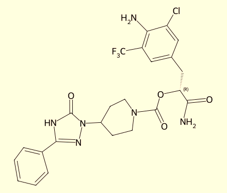 NC(=O)[C@@H](Cc1cc(Cl)c(N)c(C(F)(F)F)c1)OC(=O)N1CCC(n2nc(-c3ccccc3)[nH]c2=O)CC1